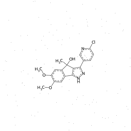 COc1cc2c(cc1OC)C(C)(O)c1c(-c3ccc(Cl)nc3)n[nH]c1-2